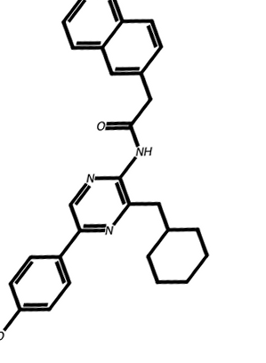 O=C(Cc1ccc2ccccc2c1)Nc1ncc(-c2ccc(O)cc2)nc1CC1CCCCC1